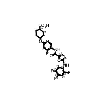 O=C(Nc1cnc(OC2CCC(C(=O)O)CC2)cc1F)c1nnc(Nc2cc(F)c(F)cc2F)o1